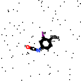 CC(C)(C)c1ccc(N=C=O)cc1I